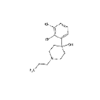 OC1(c2cccc(Cl)c2Cl)CCN(CCC(F)(F)F)CC1